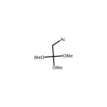 COC(CC(C)=O)(OC)OC